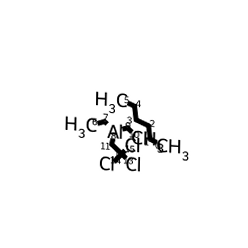 CCCCCC.C[CH2][Al]([CH2]C)[CH2]C(Cl)(Cl)Cl